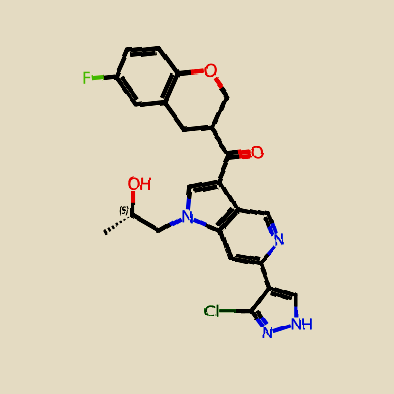 C[C@H](O)Cn1cc(C(=O)C2COc3ccc(F)cc3C2)c2cnc(-c3c[nH]nc3Cl)cc21